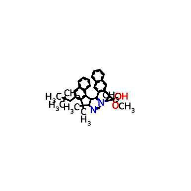 COC1(O)C2c3cc4ccccc4cc3C3=[N+](C=NC4C3c3c(c(CC(C)(C)C)cc5ccccc35)C4(C)C)C21C